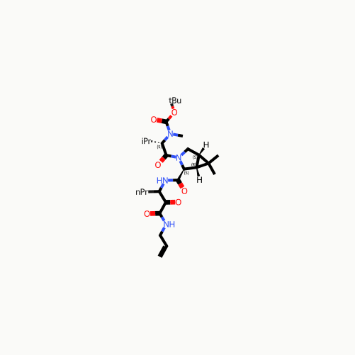 C=CCNC(=O)C(=O)C(CCC)NC(=O)[C@@H]1[C@@H]2[C@H](CN1C(=O)[C@H](C(C)C)N(C)C(=O)OC(C)(C)C)C2(C)C